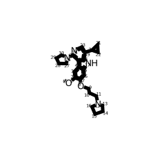 COc1cc2c(cc1OCCCN1CCCC1)[nH]c1c(C3CC3)cnc(N3CCCC3)c12